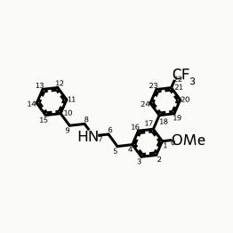 COc1ccc(CCNCCc2ccccc2)cc1-c1ccc(C(F)(F)F)cc1